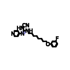 N#CN/C(=N\c1ccncc1)NCCCCCCCCOc1cccc(F)c1